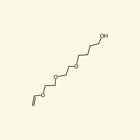 C=COCCOCCOCCCCO